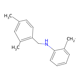 [CH2]c1ccccc1NCc1ccc(C)cc1C